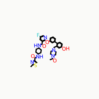 CC(=O)N1CCN(Cc2cc(O)ccc2-c2cccc(Oc3ncc(F)cc3C(=O)NC3CCC(NC(=O)c4csc(C)n4)CC3)c2)CC1